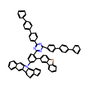 c1ccc(-c2ccc(-c3ccc(-c4nc(-c5ccc(-c6ccc(-c7ccccc7)cc6)cc5)nc(-c5ccc(-n6c7cc8ccccc8cc7c7ccc8ccccc8c76)cc5-c5ccc6sc7ccccc7c6c5)n4)cc3)cc2)cc1